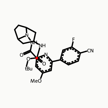 COc1cc(C(=O)NN2C3CCC2CC(NC(=O)OC(C)(C)C)C3)nc(-c2ccc(C#N)c(F)c2)c1